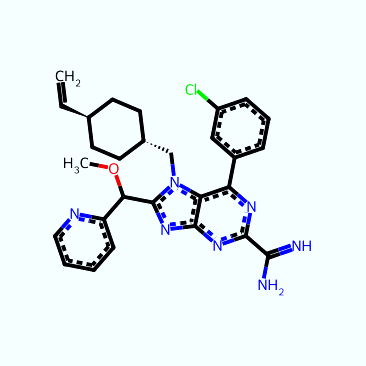 C=C[C@H]1CC[C@H](Cn2c(C(OC)c3ccccn3)nc3nc(C(=N)N)nc(-c4cccc(Cl)c4)c32)CC1